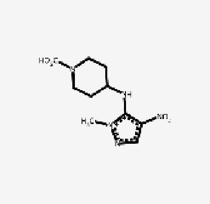 Cn1ncc([N+](=O)[O-])c1NC1CCN(C(=O)O)CC1